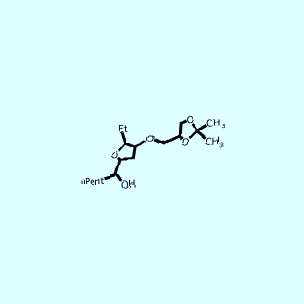 CCCCCC(O)C1CC(OCC2COC(C)(C)O2)C(CC)O1